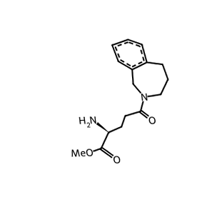 COC(=O)[C@@H](N)CCC(=O)N1CCCc2ccccc2C1